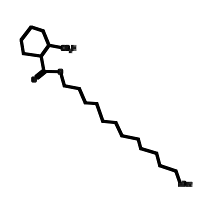 CCCCCCCCCCCCCCCCCCCCCCOC(=O)C1CCCCC1C(=O)O